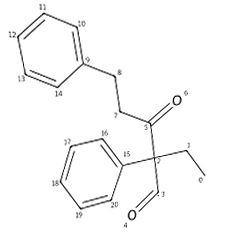 CCC([C]=O)(C(=O)CCc1ccccc1)c1ccccc1